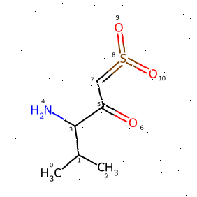 CC(C)C(N)C(=O)C=S(=O)=O